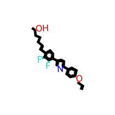 C=CCOc1ccc(-c2ccc(-c3ccc(/C=C/CCCC(C)O)c(F)c3F)cn2)cc1